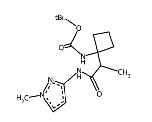 CC(C(=O)Nc1ccn(C)n1)C1(NC(=O)OC(C)(C)C)CCC1